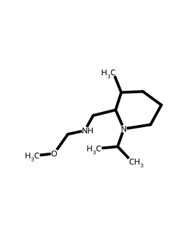 COCNCC1C(C)CCCN1C(C)C